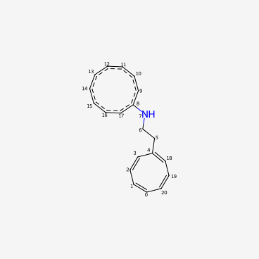 C1=C\C=C/C(CCNc2ccccccccc2)=C\C=C/1